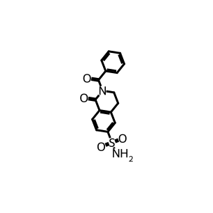 NS(=O)(=O)c1ccc2c(c1)CCN(C(=O)c1ccccc1)C2=O